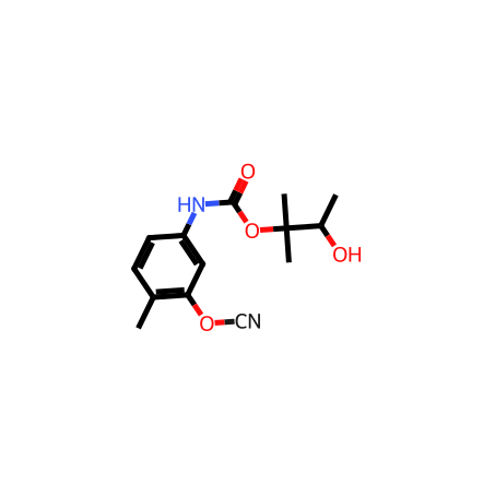 Cc1ccc(NC(=O)OC(C)(C)C(C)O)cc1OC#N